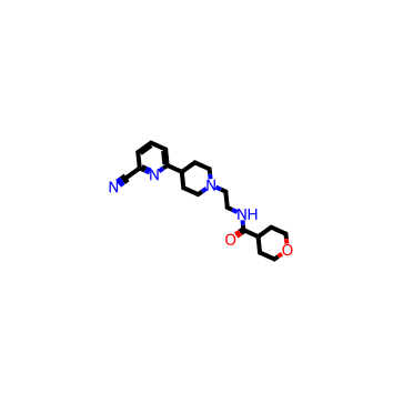 N#Cc1cccc(C2CCN(CCNC(=O)C3CCOCC3)CC2)n1